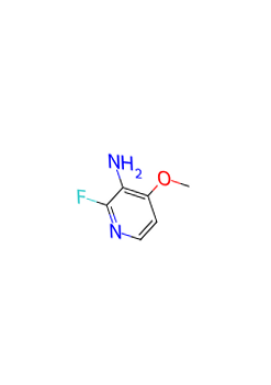 COc1ccnc(F)c1N